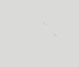 Cc1nc(C2CC3C(C2)C3(F)F)n(-c2ccc(Cl)cc2)c(=O)c1C